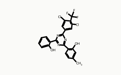 Cc1ccc(-c2nc(-c3cc(Cl)c(C(F)(F)F)c(Cl)c3)nc(-c3ccccc3O)n2)c(O)c1